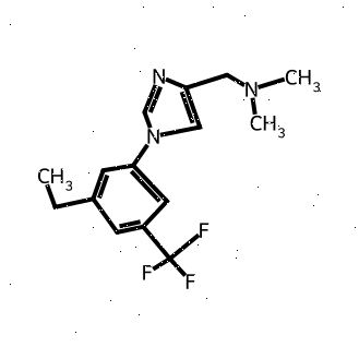 CCc1cc(-n2cnc(CN(C)C)c2)cc(C(F)(F)F)c1